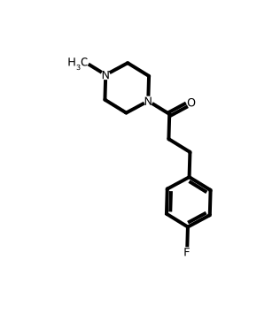 CN1CCN(C(=O)CCc2ccc(F)cc2)CC1